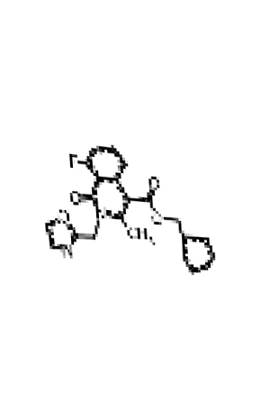 Cc1c(C(=O)OCc2ccccc2)c2cccc(F)c2c(=O)n1Cc1ncco1